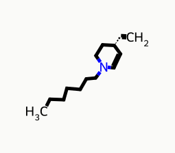 C=C[C@@H]1C=CN(CCCCCCC)CC1